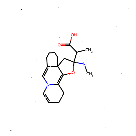 CNC1(C(C)C(=O)O)CC23CCCCC2=CN2C=CCCC2=C3O1